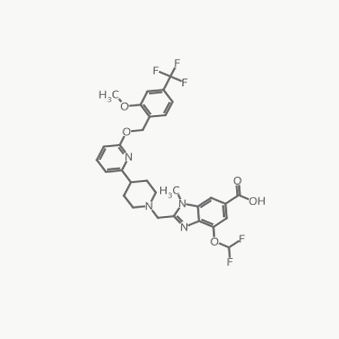 COc1cc(C(F)(F)F)ccc1COc1cccc(C2CCN(Cc3nc4c(OC(F)F)cc(C(=O)O)cc4n3C)CC2)n1